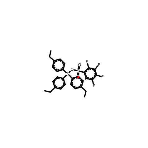 CCc1ccc(S(OS(=O)(=O)c2c(F)c(F)c(F)c(F)c2F)(c2ccc(CC)cc2)c2ccc(CC)cc2)cc1